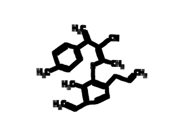 C=CCc1ccc(C=C)c(C)c1S/C(C)=C(/C#N)C(=C)c1ccc(C)cc1